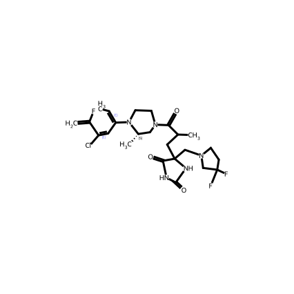 C=C(F)/C(Cl)=C\C(=C/C)N1CCN(C(=O)C(C)CC2(CN3CCC(F)(F)C3)NC(=O)NC2=O)C[C@@H]1C